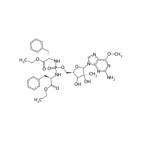 CCOC(=O)[C@H](Cc1ccccc1)NP(=O)(N[C@H](Cc1ccccc1)C(=O)OCC)OC[C@H]1OC(n2cnc3c(OC)nc(N)nc32)[C@@](C)(O)C1O